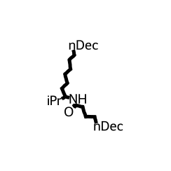 CCCCCCCCCCCCCCCCC(NC(=O)CCCCCCCCCCCCC)C(C)C